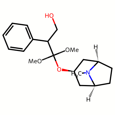 COC(OC)(O[C@H]1C[C@H]2CC[C@@H](C1)N2C)C(CO)c1ccccc1